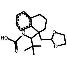 CC(C)(C)C(NC(=O)O)C1(CC2OCCO2)CCCc2ccccc21